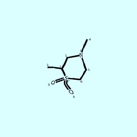 CC1CN(C)CCS1(=O)=O